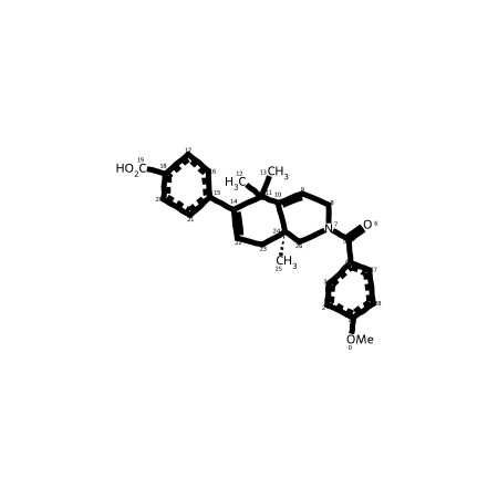 COc1ccc(C(=O)N2CC=C3C(C)(C)C(c4ccc(C(=O)O)cc4)=CC[C@]3(C)C2)cc1